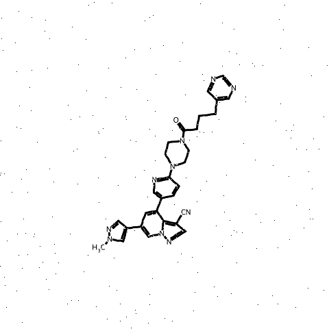 Cn1cc(-c2cc(-c3ccc(N4CCN(C(=O)CCCc5cncnc5)CC4)nc3)c3c(C#N)cnn3c2)cn1